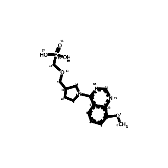 COc1cccc2c(N3CCC(COCP(=O)(O)O)C3)ncnc12